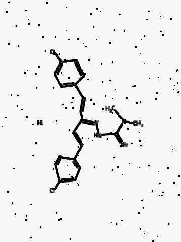 CN(C)C(=N)NN=C(C=Cc1ccc(Cl)cc1)C=Cc1ccc(Cl)cc1.I